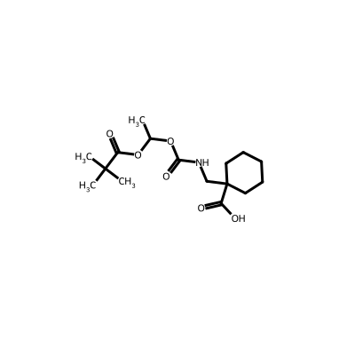 CC(OC(=O)NCC1(C(=O)O)CCCCC1)OC(=O)C(C)(C)C